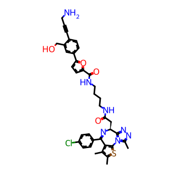 Cc1sc2c(c1C)C(c1ccc(Cl)cc1)=N[C@@H](CC(=O)NCCCCNC(=O)c1ccc(-c3ccc(C#CCN)c(CO)c3)o1)c1nnc(C)n1-2